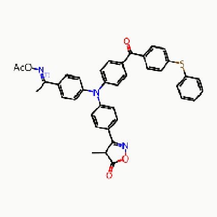 CC(=O)O/N=C(\C)c1ccc(N(c2ccc(C(=O)c3ccc(Sc4ccccc4)cc3)cc2)c2ccc(C3=NOC(=O)C3C)cc2)cc1